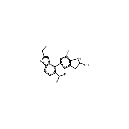 CCc1nc2ccc(C(F)F)c(-c3cc(Cl)c4c(c3)CC(O)N4)n2n1